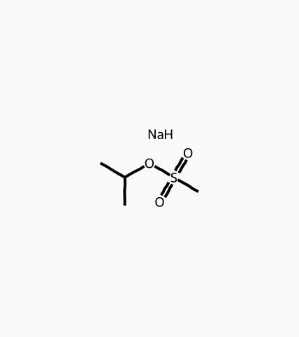 CC(C)OS(C)(=O)=O.[NaH]